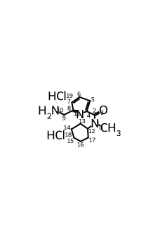 CN(C(=O)c1cccc(CN)n1)C1CCCCC1.Cl.Cl